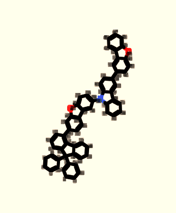 c1ccc(C2(c3ccccc3)c3ccccc3-c3c(-c4ccc5c(c4)oc4ccc(-n6c7ccccc7c7cc(-c8ccc9oc%10ccccc%10c9c8)ccc76)cc45)cccc32)cc1